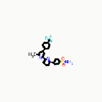 Cc1cc(-c2ccc(C(F)(F)F)cc2)cc(-c2cccc(-c3ccc(S(N)(=O)=O)cc3)n2)n1